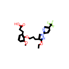 CCOc1nn(-c2ccc(C(F)(F)F)cn2)cc1CCCOc1c(CCC(=O)O)cccc1OC